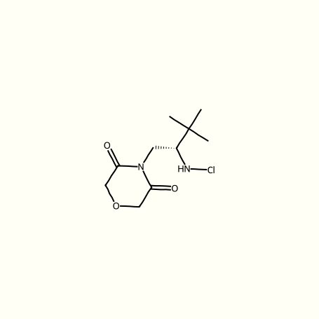 CC(C)(C)[C@@H](CN1C(=O)COCC1=O)NCl